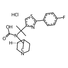 CC(C)(c1csc(-c2ccc(F)cc2)n1)N(C(=O)O)[C@@H]1CN2CCC1CC2.Cl